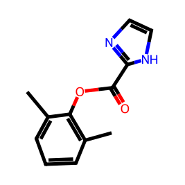 Cc1cccc(C)c1OC(=O)c1ncc[nH]1